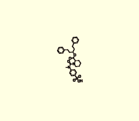 CN(C(=O)N1CCCCC1C(=O)OC(CCc1ccccc1)CCc1ccccc1)c1ccc(S(=O)(=O)O)cc1